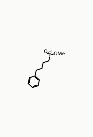 CO[PH](=O)CCCCc1ccccc1